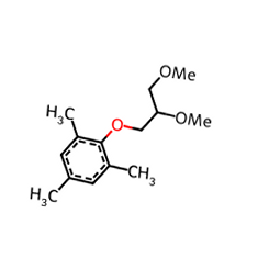 COCC(COc1c(C)cc(C)cc1C)OC